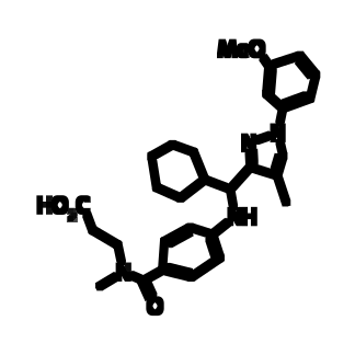 COc1cccc(-n2cc(C)c(C(Nc3ccc(C(=O)N(C)CCC(=O)O)cc3)C3CCCCC3)n2)c1